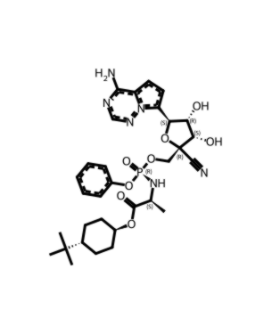 C[C@H](N[P@@](=O)(OC[C@@]1(C#N)O[C@@H](c2ccc3c(N)ncnn23)[C@H](O)[C@@H]1O)Oc1ccccc1)C(=O)O[C@H]1CC[C@H](C(C)(C)C)CC1